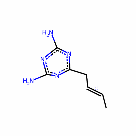 C/C=C/Cc1nc(N)nc(N)n1